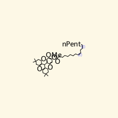 CCCCC/C=C\C/C=C\CCCCCCCC(=O)Oc1ccc(C2C3=C(CC(C)(C)CC3=O)OC3=C2C(=O)CC(C)(C)C3)cc1OC